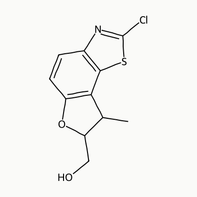 CC1c2c(ccc3nc(Cl)sc23)OC1CO